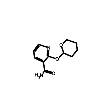 NC(=O)c1cccnc1OC1CCCCO1